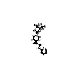 O=C(Nc1ccccn1)[C@@H]1CC12CCN(C(=O)OC(C(F)(F)F)C(F)(F)F)CC2